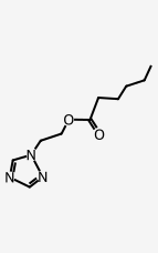 CCCCCC(=O)OCCn1cncn1